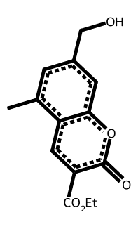 CCOC(=O)c1cc2c(C)cc(CO)cc2oc1=O